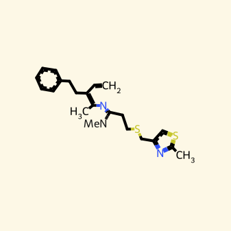 C=C/C(CCc1ccccc1)=C(C)\N=C(\CCSCc1csc(C)n1)NC